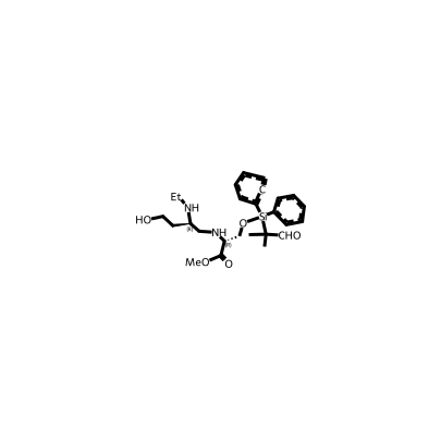 CCN[C@H](CCO)CN[C@H](CO[Si](c1ccccc1)(c1ccccc1)C(C)(C)C=O)C(=O)OC